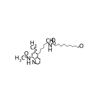 CSc1cc(NC(C)=O)c2ncccc2c1CCCCC(C)NC(=O)CCCCCCCCC=O